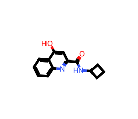 O=C(NC1CCC1)c1cc(O)c2ccccc2n1